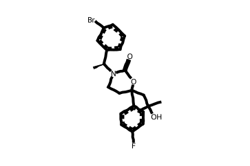 C[C@@H](c1cccc(Br)c1)N1CCC(CC(C)(C)O)(c2ccc(F)cc2)OC1=O